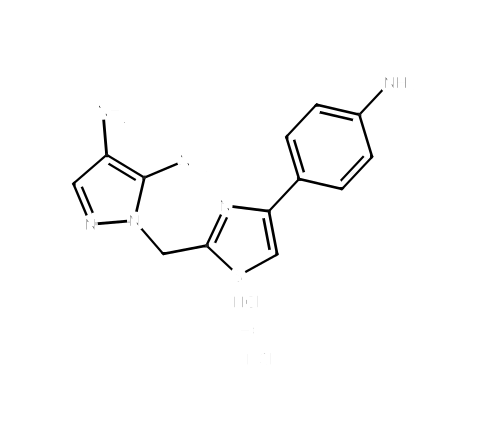 Cl.Cl.Cl.Nc1ccc(-c2csc(Cn3ncc(N)c3N)n2)cc1